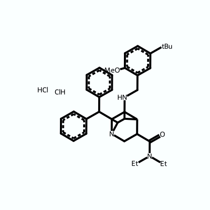 CCN(CC)C(=O)C1CN2CCC1C(NCc1cc(C(C)(C)C)ccc1OC)C2C(c1ccccc1)c1ccccc1.Cl.Cl